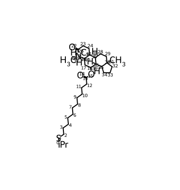 CC(C)SCCCCCCCCCCCC(=O)OC1C[C@H]2N(C)C(=O)CC[C@]2(C)[C@H]2CC[C@]3(C)CCC[C@H]3[C@H]12